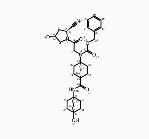 N#C[C@@H]1C[C@H](F)CN1C(=O)CN(C(=O)OCc1ccccc1)C12CCC(C(=O)NC34CCC(O)(CC3)CC4)(CC1)CC2